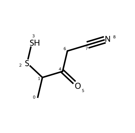 CC(SS)C(=O)CC#N